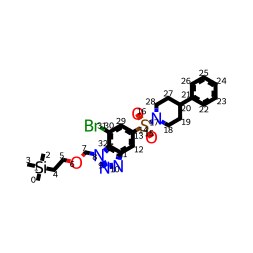 C[Si](C)(C)CCOCn1nnc2cc(S(=O)(=O)N3CCC(c4ccccc4)CC3)cc(Br)c21